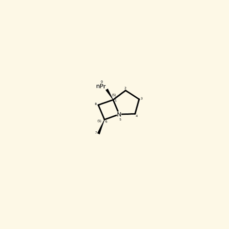 CCC[C@@]12CCCN1[C@@H](C)C2